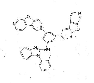 Cc1ccccc1-n1c(Nc2cc(-c3ccc4oc5cnccc5c4c3)cc(-c3ccc4oc5cnccc5c4c3)c2)nc2ccccc21